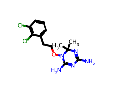 CC1(C)N=C(N)N=C(N)N1OCCc1cccc(Cl)c1Cl